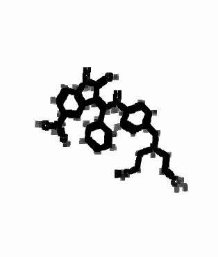 CCCN(CCC)Cc1ccc(N/C(=C2\C(=O)Nc3ccc([N+](=O)[O-])cc32)c2ccccc2)cc1